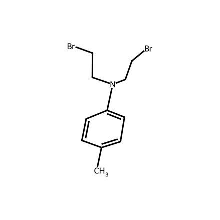 Cc1ccc(N(CCBr)CCBr)cc1